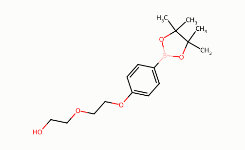 CC1(C)OB(c2ccc(OCCOCCO)cc2)OC1(C)C